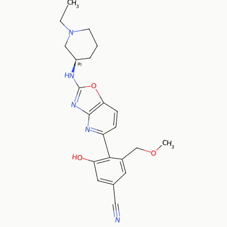 CCN1CCC[C@@H](Nc2nc3nc(-c4c(O)cc(C#N)cc4COC)ccc3o2)C1